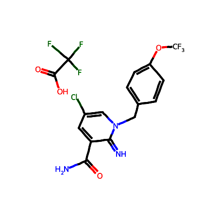 N=c1c(C(N)=O)cc(Cl)cn1Cc1ccc(OC(F)(F)F)cc1.O=C(O)C(F)(F)F